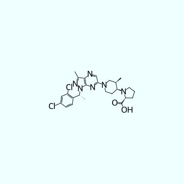 Cc1nn([C@H](C)c2ccc(Cl)cc2Cl)c2nc(N3CC[C@H](N4CCC[C@H]4C(=O)O)[C@H](C)C3)cnc12